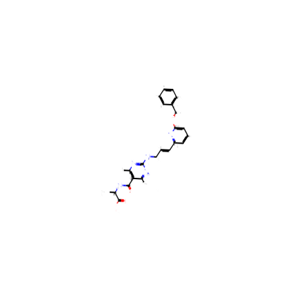 COC(=O)C(C)NC(=O)c1c(C)nc(NCC=Cc2cccc(OCc3ccccc3)n2)nc1C